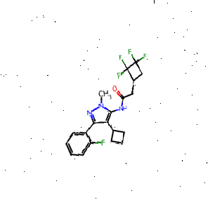 Cn1nc(-c2ccccc2F)c(C2CCC2)c1NC(=O)C[C@@H]1CC(F)(F)C1(F)F